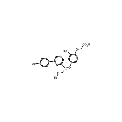 CCOC[C@@H](Oc1ccc(OCC(=O)O)c(C)c1)c1cccc(-c2ccc(C(C)=O)cc2)n1